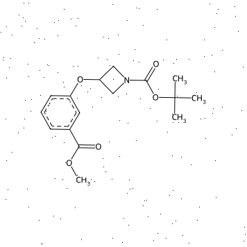 COC(=O)c1cccc(OC2CN(C(=O)OC(C)(C)C)C2)c1